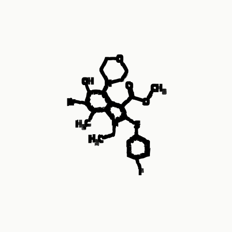 CCn1c(Sc2ccc(F)cc2)c(C(=O)OC)c2c(N3CCOCC3)c(O)c(Br)c(C)c21